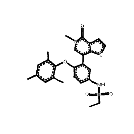 CCS(=O)(=O)Nc1ccc(Oc2c(C)cc(C)cc2C)c(-c2cn(C)c(=O)c3ccsc23)c1